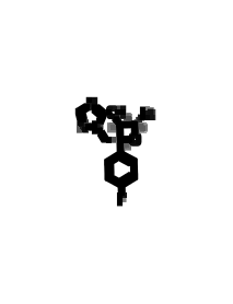 CC[C@@H]1O[C@@](Cn2cncn2)(c2ccc(F)cc2)[C@H]1C